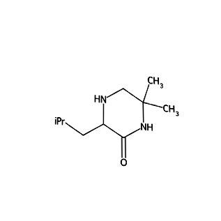 CC(C)CC1NCC(C)(C)NC1=O